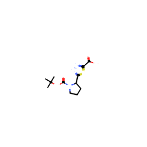 CC(C)(C)OC(=O)N1CCCC1c1nnc(C(=O)O)s1